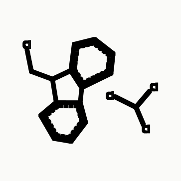 ClC(Cl)Cl.ClCC1c2ccccc2-c2ccccc21